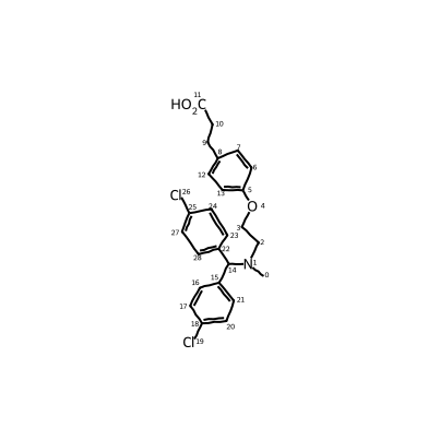 CN(CCOc1ccc(CCC(=O)O)cc1)C(c1ccc(Cl)cc1)c1ccc(Cl)cc1